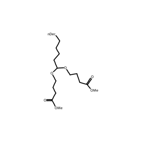 CCCCCCCCCCCCCCC(OCCCC(=O)OC)OCCCC(=O)OC